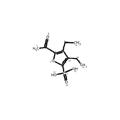 CCc1c(C(C)=O)oc(P(=O)(O)O)c1CC